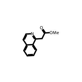 COC(=O)Cc1nccc2ccccc12